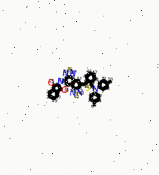 Cc1ccc(N(c2ccc(C)cc2)c2sc(-c3cc4c(cc(N=c5c(=O)c6ccccc6c5=O)c5nsnc54)c4nsnc34)c3ccccc23)cc1